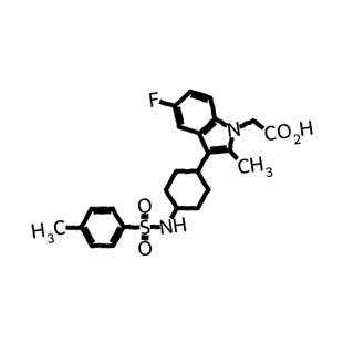 Cc1ccc(S(=O)(=O)NC2CCC(c3c(C)n(CC(=O)O)c4ccc(F)cc34)CC2)cc1